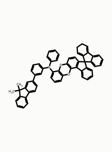 CC1(C)c2ccccc2-c2ccc(-c3cccc(N(c4ccccc4)c4cccc5c4Oc4ccc6c(c4O5)-c4ccccc4C64C5=CCCC=C5c5ccccc54)c3)cc21